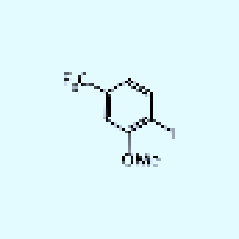 COc1cc(C(F)(F)F)ccc1I